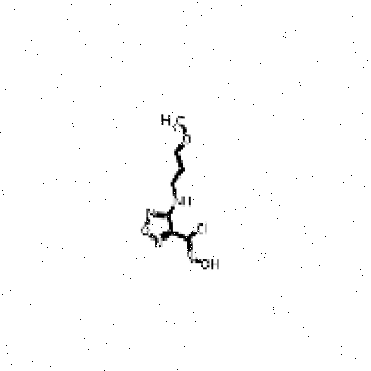 COCCCNc1nonc1C(Cl)=NO